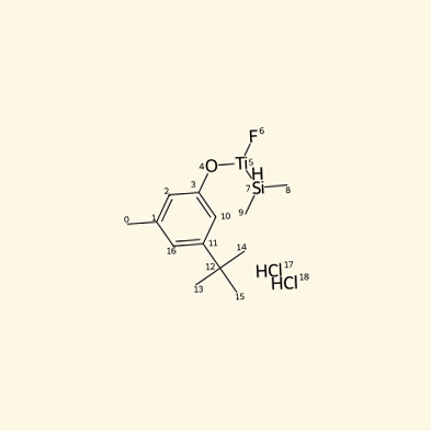 Cc1cc([O][Ti]([F])[SiH](C)C)cc(C(C)(C)C)c1.Cl.Cl